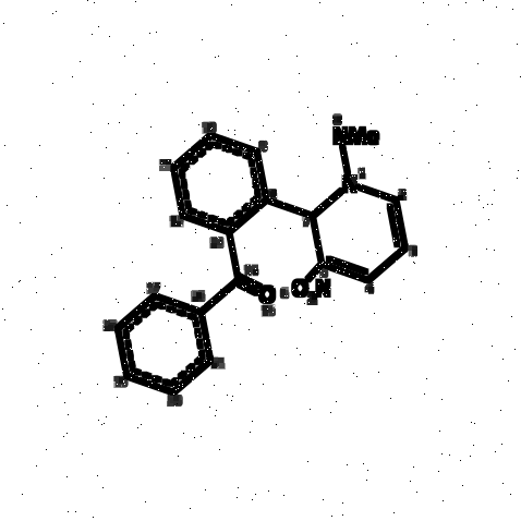 CNN1C=CC=C([N+](=O)[O-])C1c1ccccc1C(=O)c1ccccc1